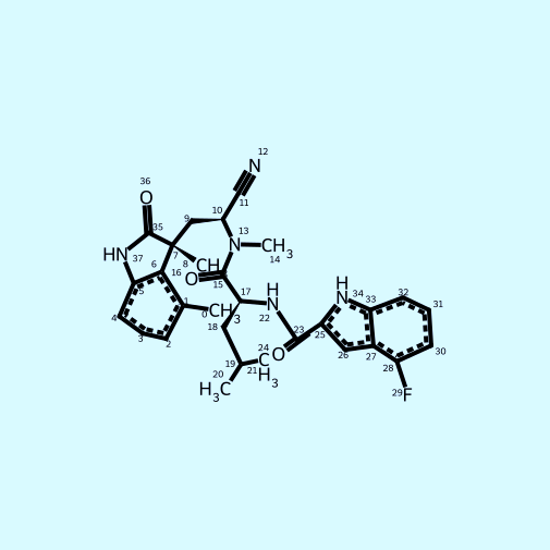 Cc1cccc2c1[C@@](C)(C[C@@H](C#N)N(C)C(=O)[C@H](CC(C)C)NC(=O)c1cc3c(F)cccc3[nH]1)C(=O)N2